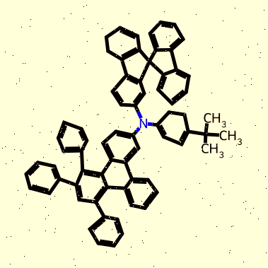 CC(C)(C)C1=CC=C(N(c2ccc3c(c2)C2(C4=C3CCC=C4)c3ccccc3-c3ccccc32)c2ccc3c(c2)c2ccccc2c2c(-c4ccccc4)cc(-c4ccccc4)c(-c4ccccc4)c32)CC1